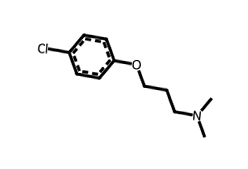 CN(C)CCCOc1ccc(Cl)cc1